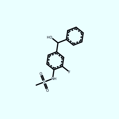 CS(=O)(=O)Nc1ccc(C(O)c2ccccc2)cc1F